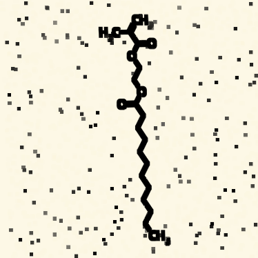 C=C(C)C(=O)OCCOC(=O)CCCCCCCCCCC